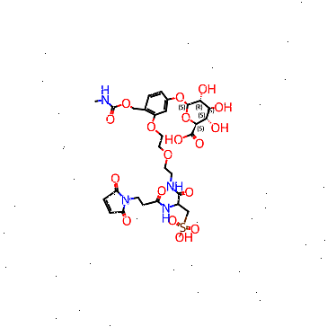 CNC(=O)OCc1ccc(O[C@@H]2O[C@H](C(=O)O)[C@@H](O)[C@H](O)[C@H]2O)cc1OCCOCCNC(=O)C(CS(=O)(=O)O)NC(=O)CCN1C(=O)C=CC1=O